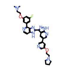 CN(C)CCOc1cc(F)cc(-c2nccc3[nH]c(-c4n[nH]c5ncc(-c6cncc(OCCN7CCCC7)c6)cc45)nc23)c1